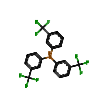 FC(F)(F)c1cccc([SH](c2cccc(C(F)(F)F)c2)c2cccc(C(F)(F)F)c2)c1